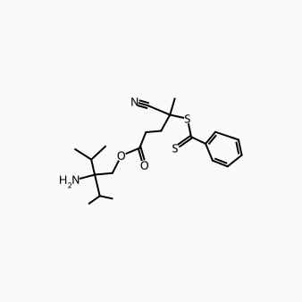 CC(C)C(N)(COC(=O)CCC(C)(C#N)SC(=S)c1ccccc1)C(C)C